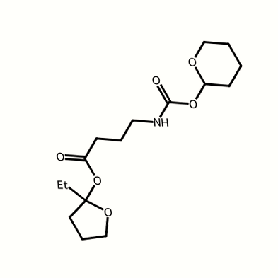 CCC1(OC(=O)CCCNC(=O)OC2CCCCO2)CCCO1